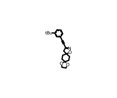 CC(C)(C)c1cccc(C#CC2=NOC3(CCC4(CC3)OCCO4)C2)c1